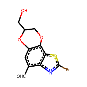 O=Cc1cc2c(c3sc(Br)nc13)OCC(CO)O2